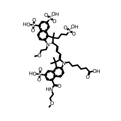 COCCNC(=O)c1cc(S(=O)(=O)O)cc2c3c(ccc12)N(CCCCCC(=O)O)/C(=C/C=C/C1=[N+](CCOC)c2ccc4c(S(=O)(=O)O)cc(S(=O)(=O)O)cc4c2C1(C)CCCS(=O)(=O)O)C3(C)C